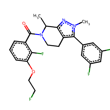 CC1c2nn(C)c(-c3cc(F)cc(F)c3)c2CCN1C(=O)c1cccc(OCCF)c1F